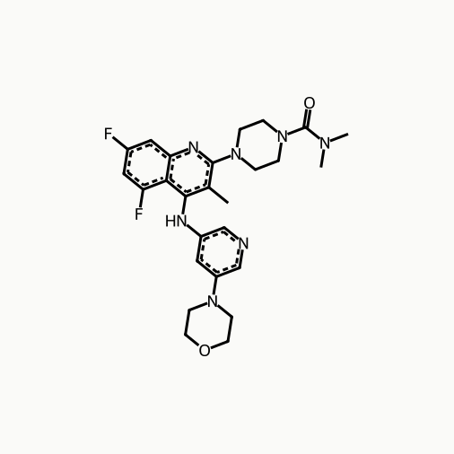 Cc1c(N2CCN(C(=O)N(C)C)CC2)nc2cc(F)cc(F)c2c1Nc1cncc(N2CCOCC2)c1